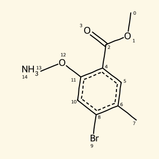 COC(=O)c1cc(C)c(Br)cc1OC.N